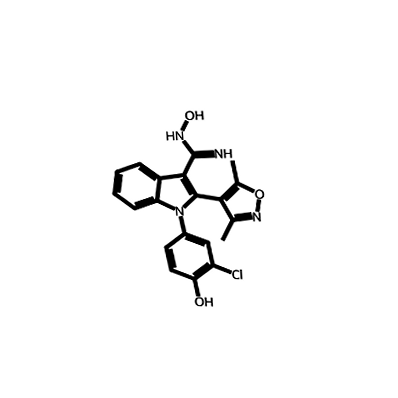 Cc1noc(C)c1-c1c(C(=N)NO)c2ccccc2n1-c1ccc(O)c(Cl)c1